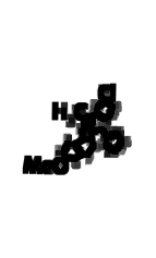 COc1ccc2c(c1)CCC1C2CN(C(C)c2cccc(Cl)c2)C1Cc1ccccc1